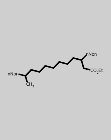 CCCCCCCCCC(C)CCCCCCCC(CCCCCCCCC)CC(=O)OCC